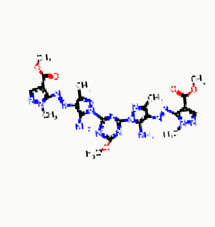 COC(=O)c1cnn(C)c1/N=N/c1c(C)nn(-c2nc(OC)nc(-n3nc(C)c(/N=N/c4c(C(=O)OC)cnn4C)c3N)n2)c1N